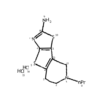 CCCN1CCc2sc3nc(N)sc3c2C1.Cl.Cl